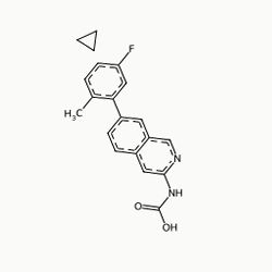 C1CC1.Cc1ccc(F)cc1-c1ccc2cc(NC(=O)O)ncc2c1